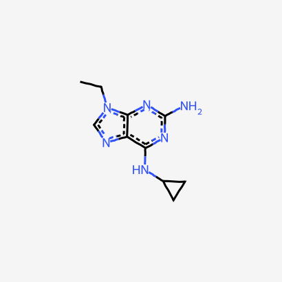 CCn1cnc2c(NC3CC3)nc(N)nc21